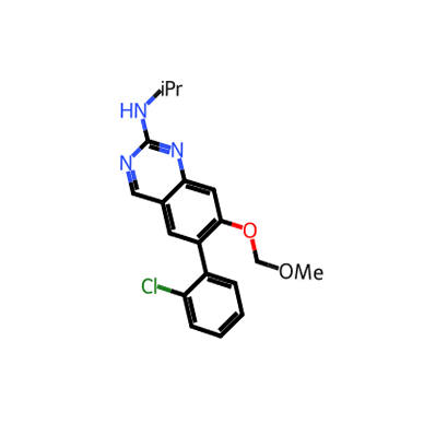 COCOc1cc2nc(NC(C)C)ncc2cc1-c1ccccc1Cl